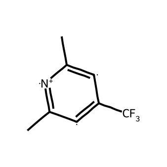 CC1=[C]C(C(F)(F)F)=[C]C(C)=[N+]1